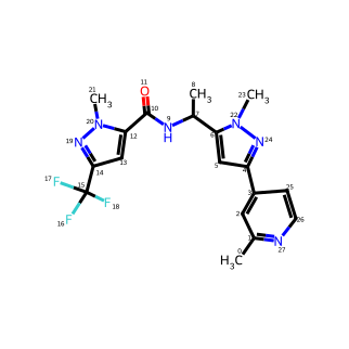 Cc1cc(-c2cc(C(C)NC(=O)c3cc(C(F)(F)F)nn3C)n(C)n2)ccn1